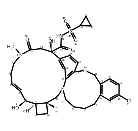 CN1CC/C=C/[C@H](O)[C@@H]2CC[C@H]2CN2CCCCc3cc(Cl)ccc3COc3ccc(cc32)[C@@](O)(C(=O)NS(=O)(=O)C2CC2)CC1=O